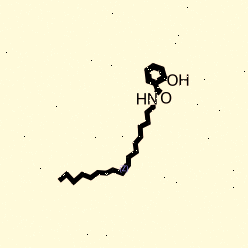 CCCCCCCC/C=C\CCCCCCCCNC(=O)c1ccccc1O